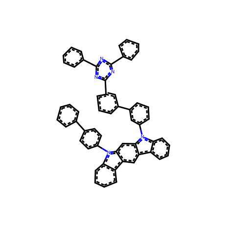 c1ccc(-c2ccc(-n3c4ccccc4c4cc5c6ccccc6n(-c6cccc(-c7cccc(-c8nc(-c9ccccc9)nc(-c9ccccc9)n8)c7)c6)c5cc43)cc2)cc1